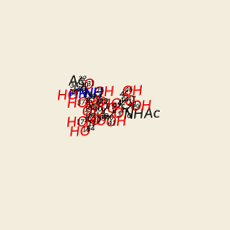 CC(=O)N[C@@H]1[C@@H](O[C@@H]2O[C@H](CO)[C@H](O[C@@H]3O[C@H](CO)[C@@H](O)[C@H]3O[C@@H]3O[C@H](C)[C@@H](O)[C@H](NN[C@@H](C(=O)C(C)=O)[C@@H](C)O)[C@H]3O)[C@H](O)[C@H]2O)[C@H](O)[C@@H](CO)O[C@@H]1O